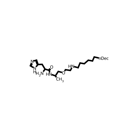 CCCCCCCCCCCCCCCCNCCOCC(C)NC(=O)C(N)Cc1cnc[nH]1